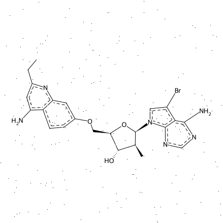 CCc1cc(N)c2ccc(OC[C@H]3O[C@@H](n4cc(Br)c5c(N)ncnc54)[C@@H](C)[C@@H]3O)cc2n1